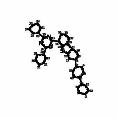 c1ccc(-c2ccc(-c3ccc4c(c3)sc3c(-c5nc(-c6ccccc6)nc(-c6ccccc6)n5)cccc34)cc2)cc1